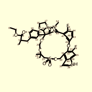 CCOC(=O)C(C)Cc1cccc(C2(C3SCCS3)CCCC(C)(C)CS(=O)(=O)CCc3c(c(F)cc4[nH]ccc34)Oc3ccc(F)c(c3)-c3nc2nn3C)c1